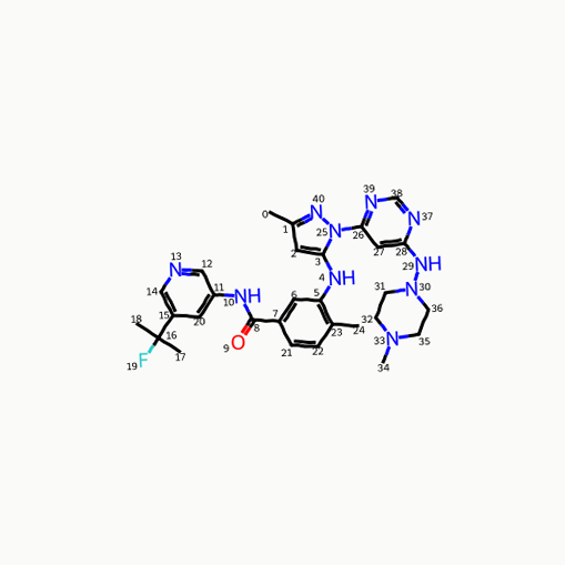 Cc1cc(Nc2cc(C(=O)Nc3cncc(C(C)(C)F)c3)ccc2C)n(-c2cc(NN3CCN(C)CC3)ncn2)n1